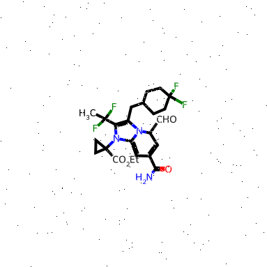 CCOC(=O)C1(N2C3=CC(C(N)=O)=CC(C=O)N3C(CC3CCC(F)(F)CC3)=C2C(C)(F)F)CC1